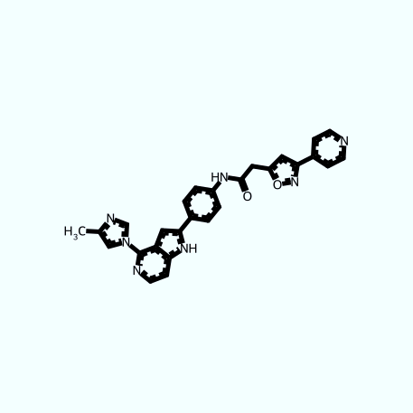 Cc1cn(-c2nccc3[nH]c(-c4ccc(NC(=O)Cc5cc(-c6ccncc6)no5)cc4)cc23)cn1